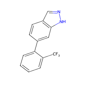 FC(F)(F)c1ccccc1-c1ccc2cn[nH]c2c1